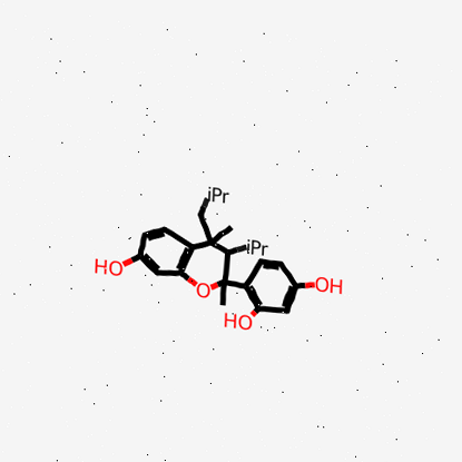 CC(C)CC1(C)c2ccc(O)cc2OC(C)(c2ccc(O)cc2O)C1C(C)C